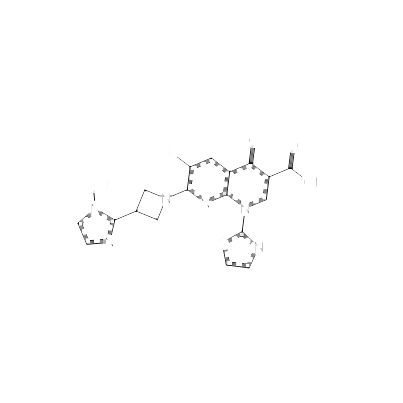 Cn1ccnc1C1CN(c2nc3c(cc2F)c(=O)c(C(=O)O)cn3-c2nccs2)C1